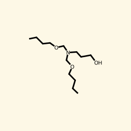 CCCCOCN(CCCO)COCCCC